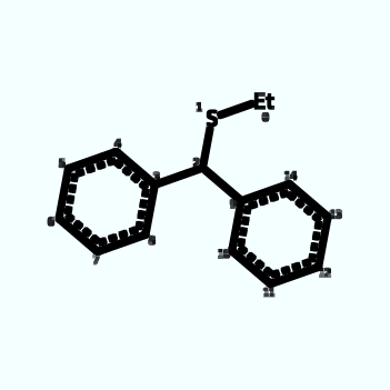 CCSC(c1ccccc1)c1ccccc1